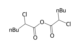 CCCCC(Cl)C(=O)OC(=O)C(Cl)CCCC